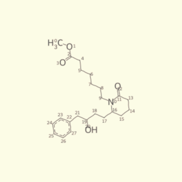 COC(=O)CCCCCCN1C(=O)CCCC1CCC(O)Cc1ccccc1